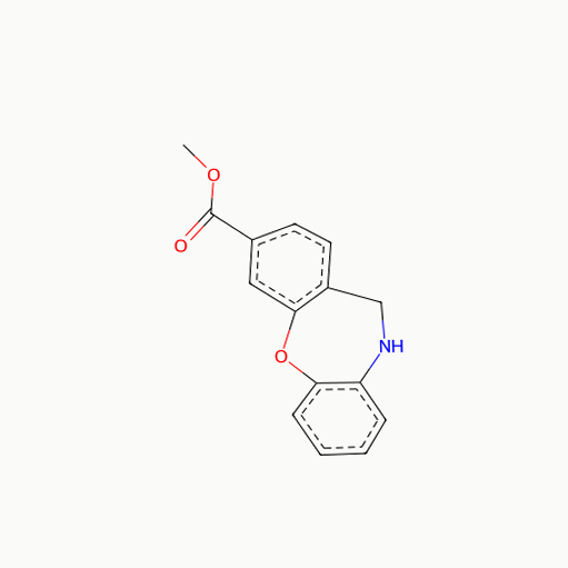 COC(=O)c1ccc2c(c1)Oc1ccccc1NC2